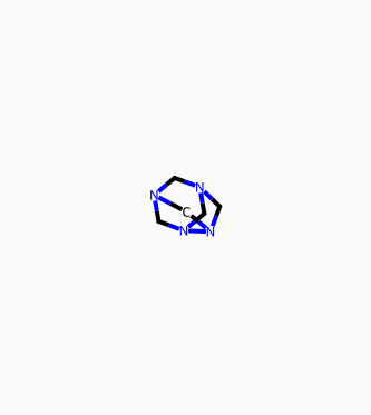 C1N2CN3CN1CN3C2